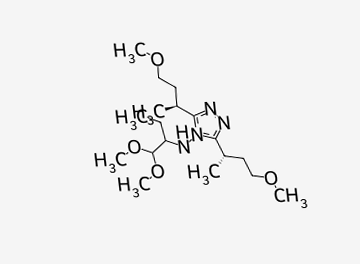 CCC(Nn1c([C@@H](C)CCOC)nnc1[C@@H](C)CCOC)C(OC)OC